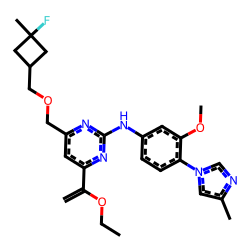 C=C(OCC)c1cc(COCC2CC(C)(F)C2)nc(Nc2ccc(-n3cnc(C)c3)c(OC)c2)n1